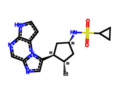 CC[C@H]1C[C@@H](NS(=O)(=O)C2CC2)C[C@@H]1c1cnc2cnc3[nH]ccc3n12